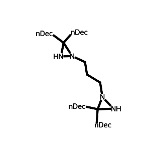 CCCCCCCCCCC1(CCCCCCCCCC)NN1CCCN1NC1(CCCCCCCCCC)CCCCCCCCCC